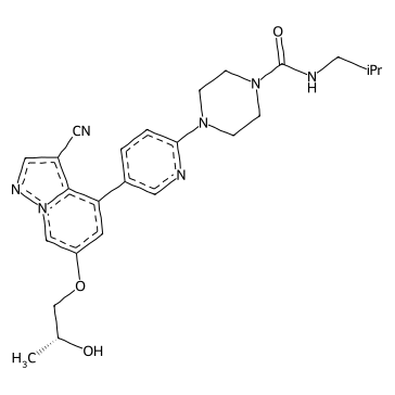 CC(C)CNC(=O)N1CCN(c2ccc(-c3cc(OC[C@@H](C)O)cn4ncc(C#N)c34)cn2)CC1